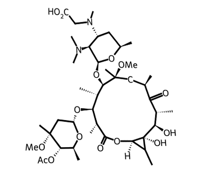 CO[C@]1(C)C[C@H](O[C@H]2[C@H](C)[C@@H](O[C@@H]3O[C@H](C)C[C@@H](N(C)CC(=O)O)[C@@H]3N(C)C)[C@@](C)(OC)C[C@@H](C)C(=O)[C@H](C)[C@@H](O)[C@@]3(O)C(C)[C@H]3OC(=O)[C@@H]2C)O[C@@H](C)[C@@H]1OC(C)=O